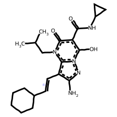 CC(C)Cn1c(=O)c(C(=O)NC2CC2)c(O)n2nc(N)c(/C=C/C3CCCCC3)c12